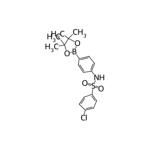 CC1(C)OB(c2ccc(NS(=O)(=O)c3ccc(Cl)cc3)cc2)OC1(C)C